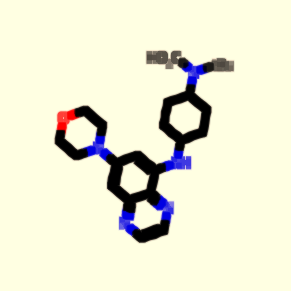 CC(C)(C)N(C(=O)O)C1CCC(Nc2cc(N3CCOCC3)cc3nccnc23)CC1